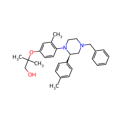 Cc1ccc([C@@H]2CN(Cc3ccccc3)CCN2c2ccc(OC(C)(C)CO)cc2C)cc1